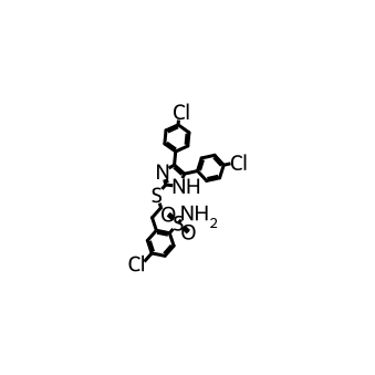 NS(=O)(=O)c1ccc(Cl)cc1CCSc1nc(-c2ccc(Cl)cc2)c(-c2ccc(Cl)cc2)[nH]1